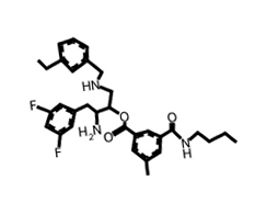 CCCCNC(=O)c1cc(C)cc(C(=O)OC(CNCc2cccc(CC)c2)C(N)Cc2cc(F)cc(F)c2)c1